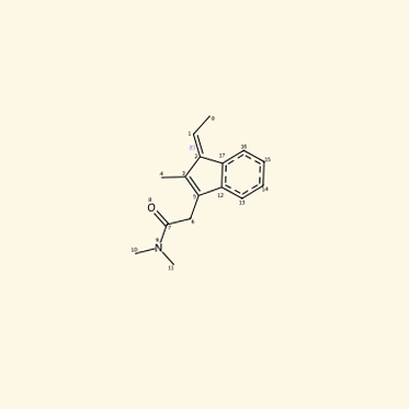 C/C=C1/C(C)=C(CC(=O)N(C)C)c2ccccc21